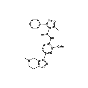 COc1nc(-c2ncn3c2CN(C)CC3)ccc1NC(=O)c1c(-c2ccccc2)noc1C